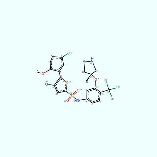 COc1ccc(Cl)cc1-c1sc(S(=O)(=O)Nc2ccc(C(F)(F)F)c(O[C@]3(C)CCNC3)c2)cc1Cl